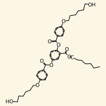 CCCCCCCOC(=O)c1cc(OC(=O)c2ccc(OCCCCCCO)cc2)ccc1OC(=O)c1ccc(OCCCCCCO)cc1